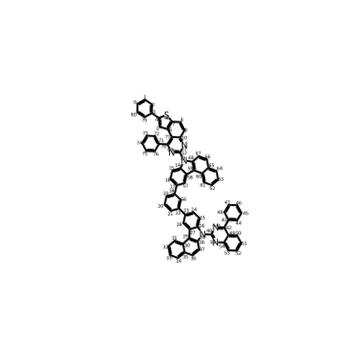 c1ccc(-c2cc3c(ccc4nc(-n5c6ccc(-c7cccc(-c8ccc9c(c8)c8c%10ccccc%10ccc8n9-c8nc(-c9ccccc9)c9ccccc9n8)c7)cc6c6c7ccccc7ccc65)nc(-c5ccccc5)c43)s2)cc1